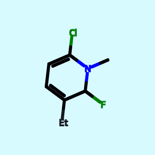 CCC1=CC=C(Cl)N(C)C1F